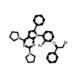 CC(=O)c1ccccc1-n1c(-c2ccccc2)cc2c(N3CCCC3)nc(N3CCCC3)nc21.O=C(CBr)c1ccccc1